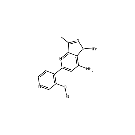 CCOc1cnccc1-c1cc(N)c2c(n1)c(C)nn2C(C)C